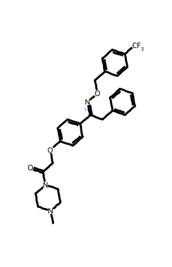 CN1CCN(C(=O)COc2ccc(/C(Cc3ccccc3)=N/OCc3ccc(C(F)(F)F)cc3)cc2)CC1